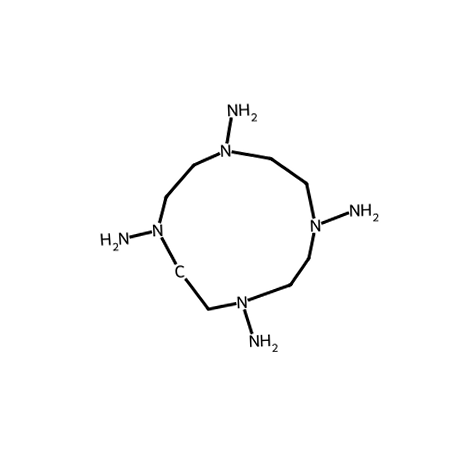 NN1CCN(N)CCN(N)CCN(N)CC1